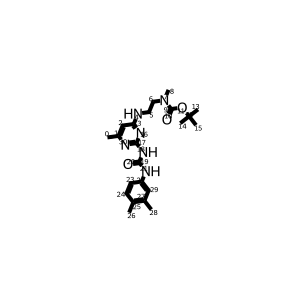 Cc1cc(NCCN(C)C(=O)OC(C)(C)C)nc(NC(=O)Nc2ccc(C)c(C)c2)n1